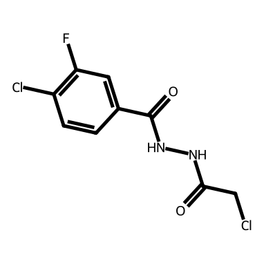 O=C(CCl)NNC(=O)c1ccc(Cl)c(F)c1